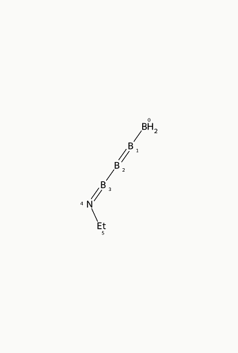 BB=BB=NCC